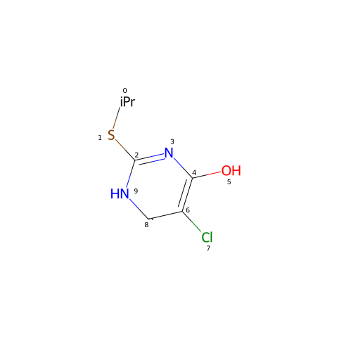 CC(C)SC1=NC(O)=C(Cl)[CH]N1